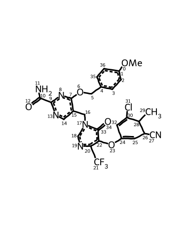 COc1ccc(COc2nc(C(N)=O)ncc2Cn2cnc(C(F)(F)F)c(OC3=CC(C#N)C(C)C(Cl)=C3)c2=O)cc1